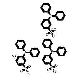 O=S(=O)([O-])c1cccc(P(c2ccccc2)c2ccccc2)c1.O=S(=O)([O-])c1cccc(P(c2ccccc2)c2ccccc2)c1.O=S(=O)([O-])c1cccc(P(c2ccccc2)c2ccccc2)c1.[Au+3]